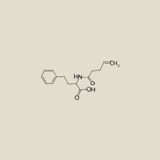 C=CCCC(=O)NC(CCc1ccccc1)C(=O)O